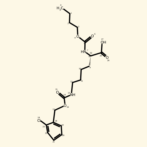 CCCCOC(=O)N[C@@H](CCCCNC(=O)OCc1ccccc1Cl)C(=O)O